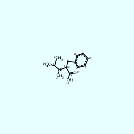 CC(C)N(C)[C@@H](Cc1ccccc1)C(=O)O